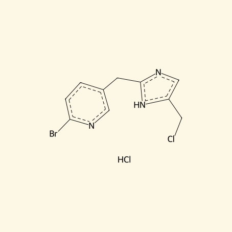 Cl.ClCc1cnc(Cc2ccc(Br)nc2)[nH]1